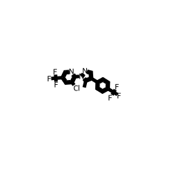 Cc1c(-c2ccc(C(F)(F)F)cc2)cnn1-c1ncc(C(F)(F)F)cc1Cl